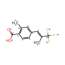 C/C(=C\c1ccc(C(=O)O)c(C)c1)C(F)(F)F